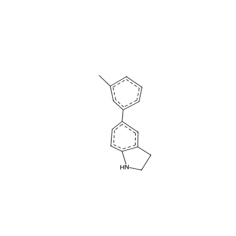 Cc1cccc(-c2ccc3c(c2)CCN3)c1